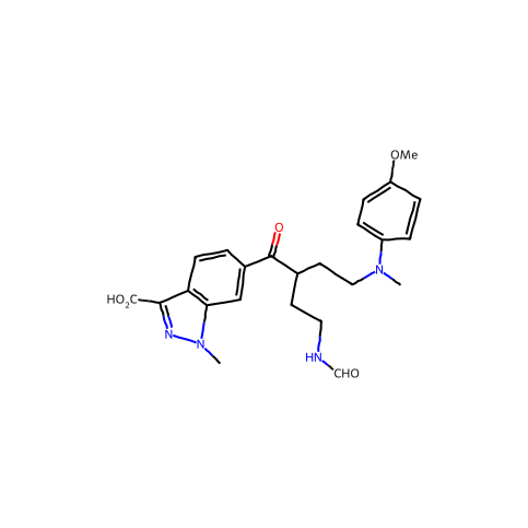 COc1ccc(N(C)CCC(CCNC=O)C(=O)c2ccc3c(C(=O)O)nn(C)c3c2)cc1